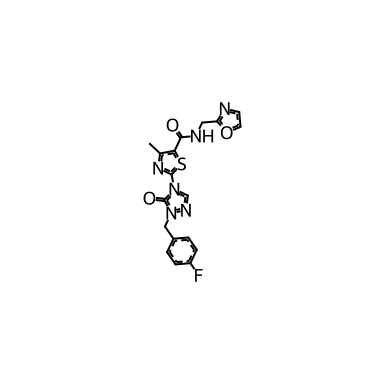 Cc1nc(-n2cnn(Cc3ccc(F)cc3)c2=O)sc1C(=O)NCc1ncco1